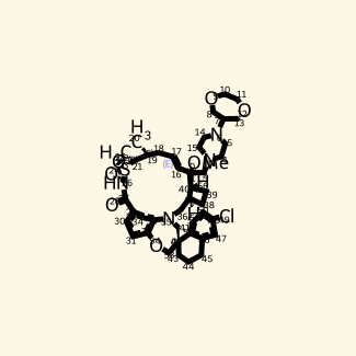 CO[C@@]1(CN2CCN(C3COCCOC3)CC2)/C=C/C[C@H](C)[C@@H](C)S(=O)(=O)NC(=O)c2ccc3c(c2)N(C[C@@H]2CC[C@H]21)C[C@@]1(CCCc2cc(Cl)ccc21)CO3